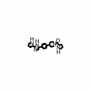 O=C(C1CCCN1)N1CCC(c2ccc(-c3cnc(C4CCCN4)[nH]3)cc2)CC1